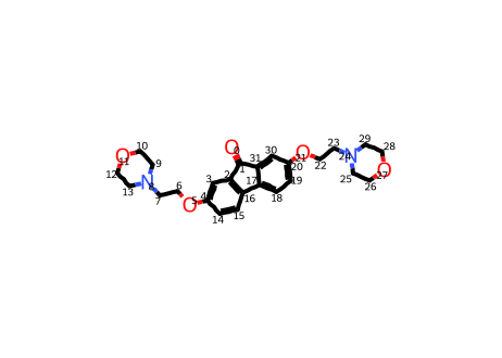 O=C1c2cc(OCCN3CCOCC3)ccc2-c2ccc(OCCN3CCOCC3)cc21